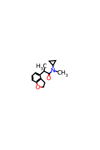 CC(C(=O)N(C)C1CC1)c1cccc2c1CCO2